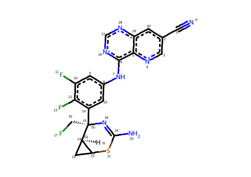 N#Cc1cnc2c(Nc3cc(F)c(F)c([C@@]4(CF)N=C(N)SC5C[C@H]54)c3)ncnc2c1